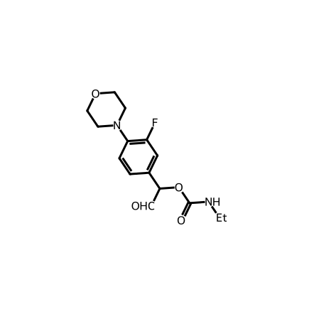 CCNC(=O)OC(C=O)c1ccc(N2CCOCC2)c(F)c1